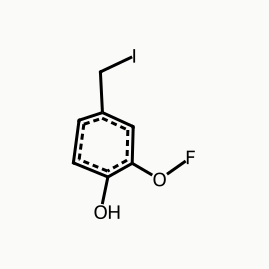 Oc1ccc(CI)cc1OF